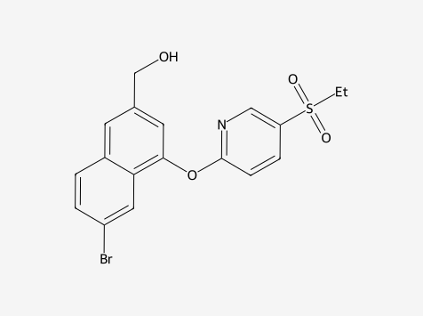 CCS(=O)(=O)c1ccc(Oc2cc(CO)cc3ccc(Br)cc23)nc1